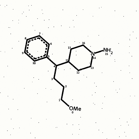 COCCCC(c1ccccc1)C1CCN(N)CC1